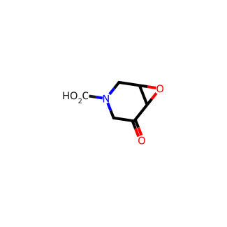 O=C1CN(C(=O)O)CC2OC12